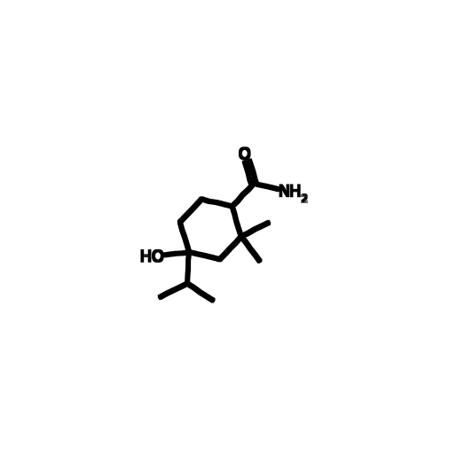 CC(C)C1(O)CCC(C(N)=O)C(C)(C)C1